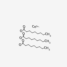 CCCCCCCCC(=O)[O-].CCCCCCCCC(=O)[O-].CCCCCCCCC(=O)[O-].[Ce+3]